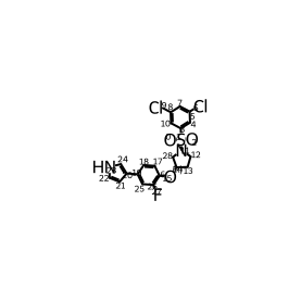 O=S(=O)(c1cc(Cl)cc(Cl)c1)N1CC[C@@H](Oc2ccc(-c3cc[nH]c3)cc2F)C1